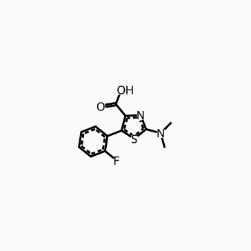 CN(C)c1nc(C(=O)O)c(-c2ccccc2F)s1